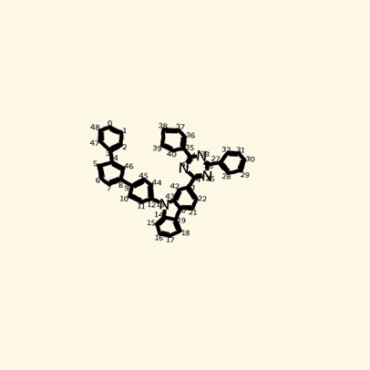 c1ccc(-c2cccc(-c3ccc(-n4c5ccccc5c5ccc(-c6nc(-c7ccccc7)nc(-c7ccccc7)n6)cc54)cc3)c2)cc1